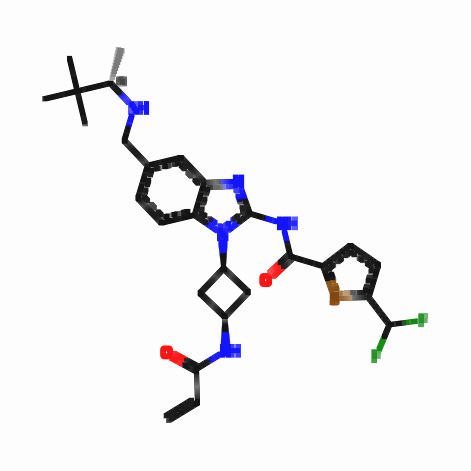 C=CC(=O)N[C@H]1C[C@@H](n2c(NC(=O)c3ccc(C(F)F)s3)nc3cc(CN[C@@H](C)C(C)(C)C)ccc32)C1